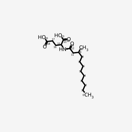 CCCCCCCCCC(C)CC(=O)NC(CCC(=O)O)C(=O)O